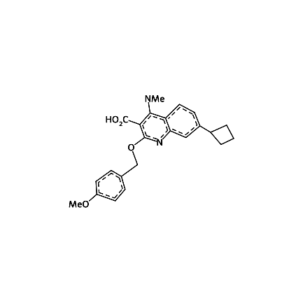 CNc1c(C(=O)O)c(OCc2ccc(OC)cc2)nc2cc(C3CCC3)ccc12